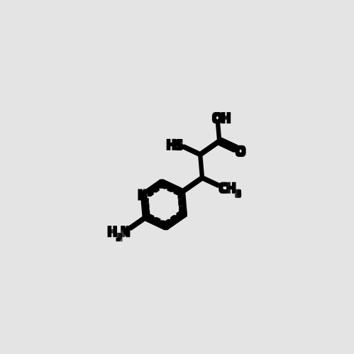 CC(c1ccc(N)nc1)C(S)C(=O)O